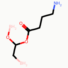 BCC(OB)OC(=O)CCCN